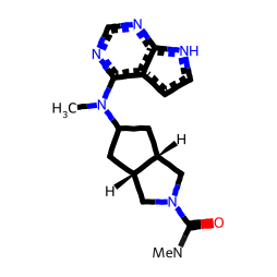 CNC(=O)N1C[C@H]2CC(N(C)c3ncnc4[nH]ccc34)C[C@H]2C1